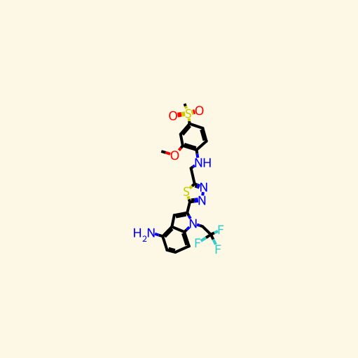 COc1cc(S(C)(=O)=O)ccc1NCc1nnc(-c2cc3c(N)cccc3n2CC(F)(F)F)s1